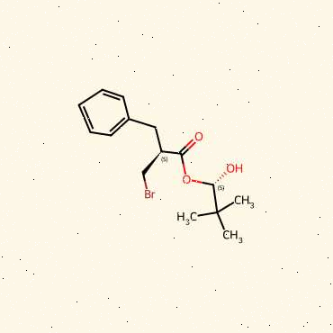 CC(C)(C)[C@@H](O)OC(=O)[C@@H](CBr)Cc1ccccc1